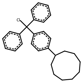 ClC(c1ccccc1)(c1ccccc1)c1ccc(C2CCCCCCCC2)cc1